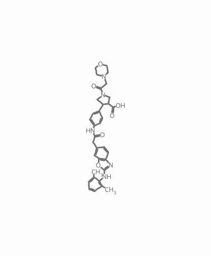 Cc1cccc(C)c1Nc1nc2ccc(CC(=O)Nc3ccc(C4CN(C(=O)CN5CCOCC5)CC4C(=O)O)cc3)cc2o1